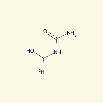 [2H]C(O)NC(N)=O